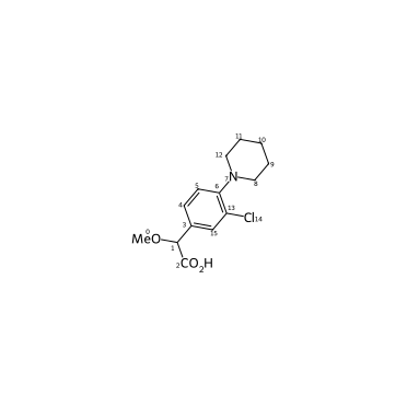 COC(C(=O)O)c1ccc(N2CCCCC2)c(Cl)c1